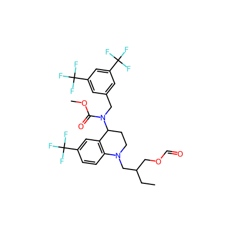 CCC(COC=O)CN1CCC(N(Cc2cc(C(F)(F)F)cc(C(F)(F)F)c2)C(=O)OC)c2cc(C(F)(F)F)ccc21